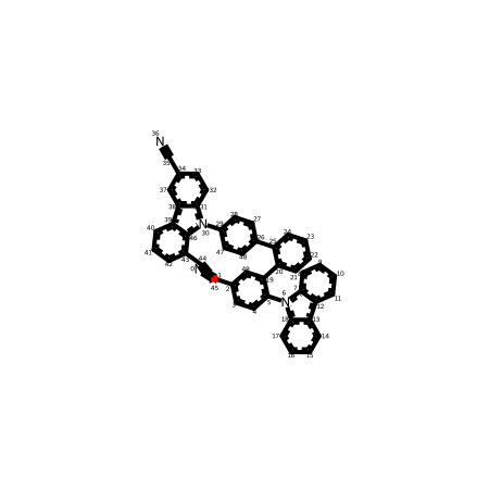 N#Cc1ccc(-n2c3ccccc3c3ccccc32)c(-c2ccccc2-c2ccc(-n3c4ccc(C#N)cc4c4cccc(C#N)c43)cc2)c1